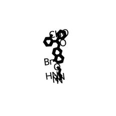 O=Cc1ccccc1-c1c(-c2ccc3c(Br)c(OCc4nnn[nH]4)ccc3c2)oc2ccccc12